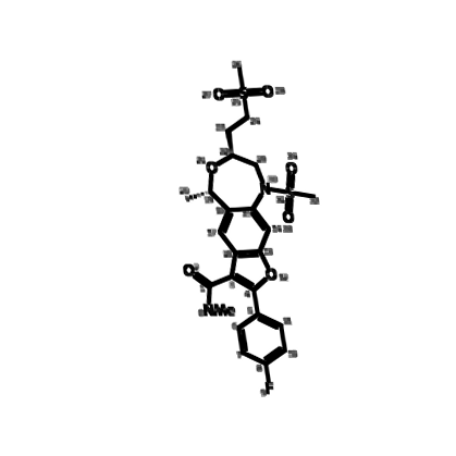 CNC(=O)c1c(-c2ccc(F)cc2)oc2cc3c(cc12)[C@H](C)O[C@@H](CCS(C)(=O)=O)CN3S(C)(=O)=O